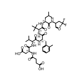 Cc1ccccc1C[C@H](NC(=O)[C@@H](NC(=O)[C@H](CC(=O)O)NC(=O)CCC(=O)O)C(C)C)C(=O)N[C@H](C(=O)N[C@@H](CC(C)C)C(=O)NC(C=O)CC(F)(F)F)C(C)(C)C